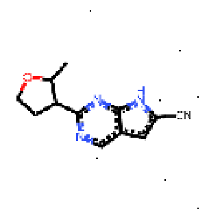 CC1OCCC1c1ncc2cc(C#N)[nH]c2n1